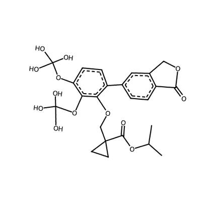 CC(C)OC(=O)C1(COc2c(-c3ccc4c(c3)COC4=O)ccc(OC(O)(O)O)c2OC(O)(O)O)CC1